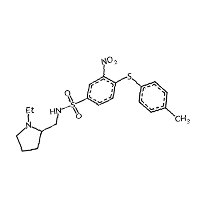 CCN1CCCC1CNS(=O)(=O)c1ccc(Sc2ccc(C)cc2)c([N+](=O)[O-])c1